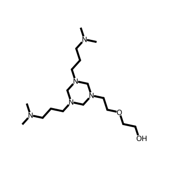 CN(C)CCCN1CN(CCCN(C)C)CN(CCOCCO)C1